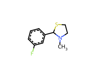 CN1CCSC1c1cccc(F)c1